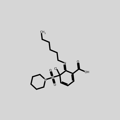 CCCCCCN=C1C(C(=O)O)=CC=CC1(Cl)S(=O)(=O)N1CCCCC1